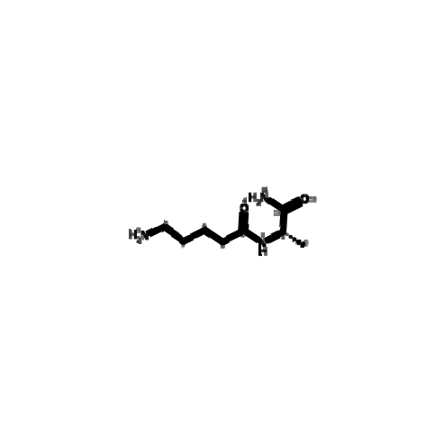 C[C@H](NC(=O)CCCCN)C(N)=O